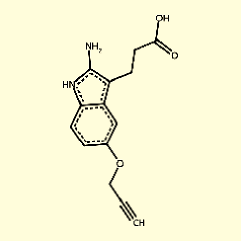 C#CCOc1ccc2[nH]c(N)c(CCC(=O)O)c2c1